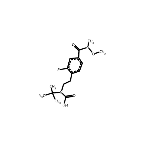 CON(C)C(=O)c1ccc(CCN(C(=O)O)C(C)(C)C)c(F)c1